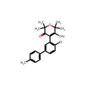 CCc1ccc(-c2ccc(C)cc2)cc1C1=C(OC(C)=O)C(C)(C)OC(C)(C)C1=O